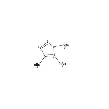 CCCCC1=C(CCCC)C(CCCC)C=C1